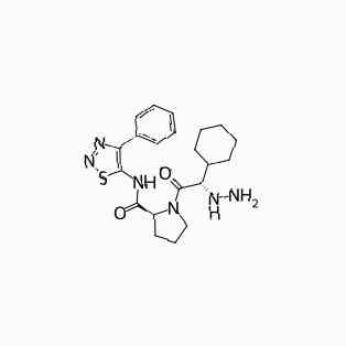 NN[C@H](C(=O)N1CCC[C@H]1C(=O)Nc1snnc1-c1ccccc1)C1CCCCC1